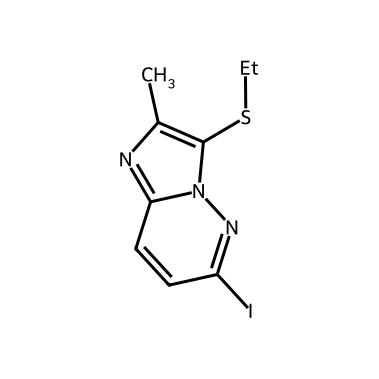 CCSc1c(C)nc2ccc(I)nn12